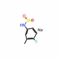 Cc1cc(N[SH](=O)=O)ccc1F.[Na]